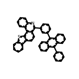 c1ccc(-c2c3ccccc3c(-c3cccc(-c4nc5ccccc5c5c4ccc4c6ccccc6sc45)c3)c3ccccc23)cc1